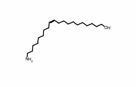 NCCCCCCCC/C=C\CCCCCCCCCCO